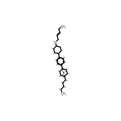 CCC=CCOC1CCC(c2ccc(C34CCC(CCCCC)(CC3)CC4)cc2)CC1